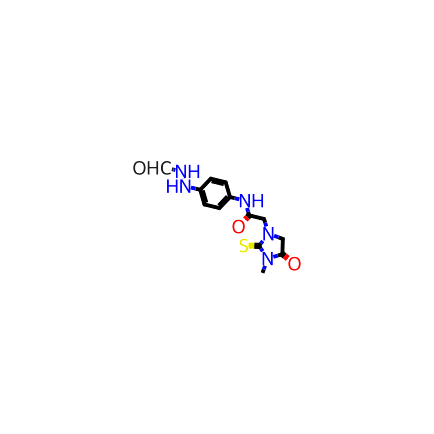 CN1C(=O)CN(CC(=O)Nc2ccc(NNC=O)cc2)C1=S